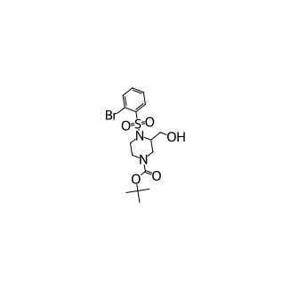 CC(C)(C)OC(=O)N1CCN(S(=O)(=O)c2ccccc2Br)C(CO)C1